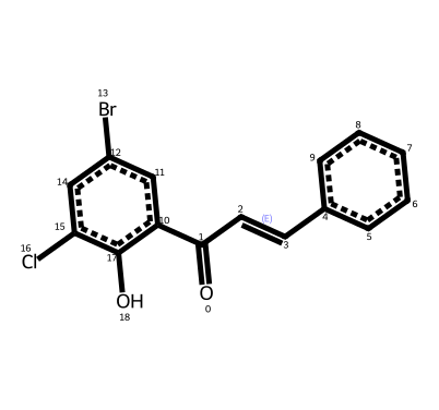 O=C(/C=C/c1ccccc1)c1cc(Br)cc(Cl)c1O